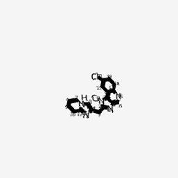 Cn1c(Cc2cn3ccccc3n2)nc2cnc3ccc(Cl)cc3c21